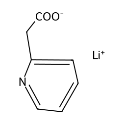 O=C([O-])Cc1ccccn1.[Li+]